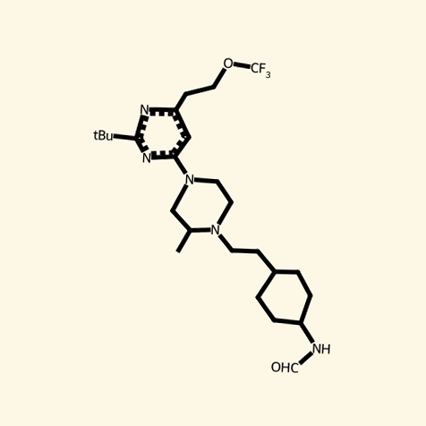 CC1CN(c2cc(CCOC(F)(F)F)nc(C(C)(C)C)n2)CCN1CCC1CCC(NC=O)CC1